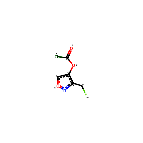 O=C(Cl)Oc1conc1CF